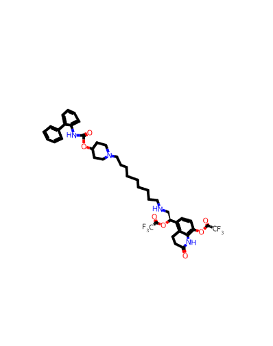 O=C1CCc2c([C@H](CNCCCCCCCCCN3CCC(OC(=O)Nc4ccccc4-c4ccccc4)CC3)OC(=O)C(F)(F)F)ccc(OC(=O)C(F)(F)F)c2N1